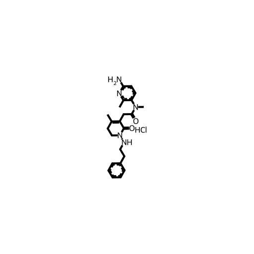 CC1=C(CC(=O)N(C)c2ccc(N)nc2C)C(=O)N(NCCc2ccccc2)CC1.Cl